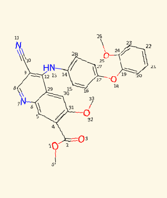 COC(=O)c1cc2ncc(C#N)c(Nc3ccc(Oc4ccccc4OC)cc3)c2cc1OC